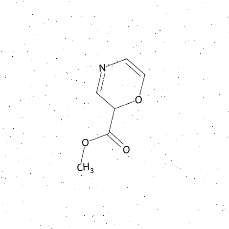 COC(=O)C1C=NC=CO1